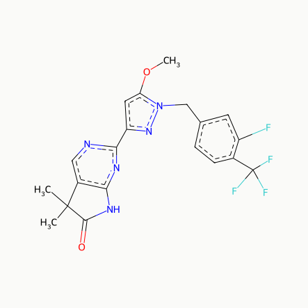 COc1cc(-c2ncc3c(n2)NC(=O)C3(C)C)nn1Cc1ccc(C(F)(F)F)c(F)c1